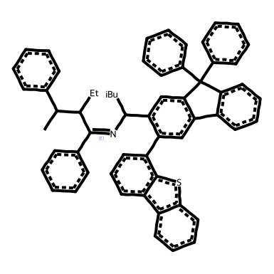 CCC(C)C(/N=C(/c1ccccc1)C(CC)C(C)c1ccccc1)c1cc2c(cc1-c1cccc3c1sc1ccccc13)-c1ccccc1C2(c1ccccc1)c1ccccc1